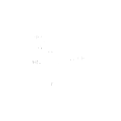 COc1ccc(CC(=O)O)cc1-c1ccc(F)c2c1C(C(=O)C1CC1)NCC2